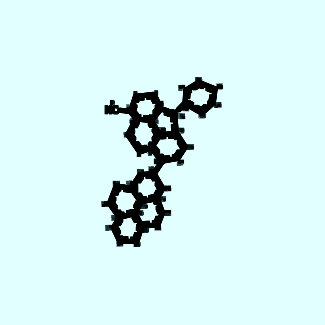 N#Cc1ccc2c3c1ccc1c(-c4cc5ccc6cccc7ccc(c4)c5c67)ccc(c13)n2-c1ccccc1